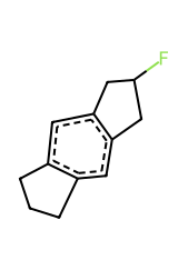 FC1Cc2cc3c(cc2C1)CCC3